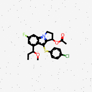 CCC(OC)c1cc(F)cc2c1c(Sc1ccc(Cl)cc1)c1n2CCC1OC(C)=O